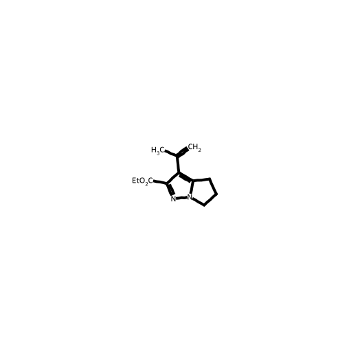 C=C(C)c1c(C(=O)OCC)nn2c1CCC2